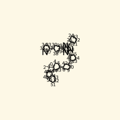 CC1(C)c2ccc(-c3cccc(-c4cccc(-c5nc(-c6ccccc6)nc(-c6ccc(-c7cccnc7)cc6)n5)c4)c3)cc2-c2c1ccc1ccccc21